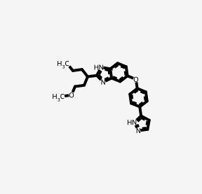 CCCC(CCOC)c1nc2cc(Oc3ccc(-c4ccn[nH]4)cc3)ccc2[nH]1